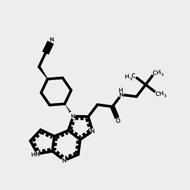 CC(C)(C)CNC(=O)Cc1nc2cnc3[nH]ccc3c2n1[C@H]1CC[C@H](CC#N)CC1